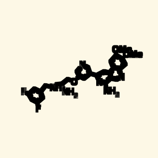 COc1cc2ncc3c(N)nc(-c4cncc(OC[C@H](N)CNCc5cc(F)cc(F)c5)c4)cc3c2cc1OC